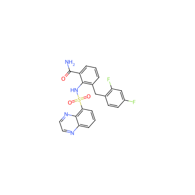 NC(=O)c1cccc(Cc2ccc(F)cc2F)c1NS(=O)(=O)c1cccc2nccnc12